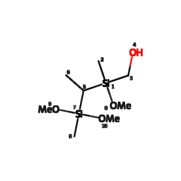 CO[Si](C)(CO)C(C)[Si](C)(OC)OC